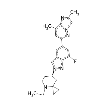 CCN1CC[C@@H](n2cc3cc(-c4cc(C)c5nc(C)cn5n4)cc(F)c3n2)CC12CC2